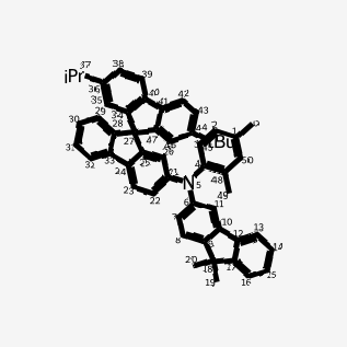 Cc1ccc(N(c2ccc3c(c2)-c2ccccc2C3(C)C)c2ccc3c(c2)C2(c4ccccc4-3)c3cc(C(C)C)ccc3-c3ccc(C(C)(C)C)cc32)c(C)c1